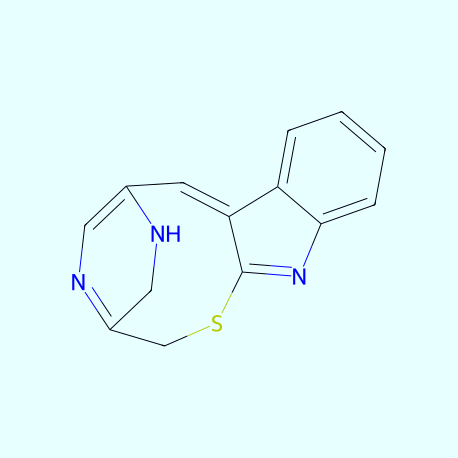 C1=C2/C=C3\C(=Nc4ccccc43)SCC(=N1)CN2